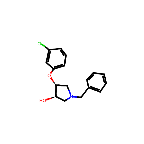 O[C@@H]1CN(Cc2ccccc2)C[C@@H]1Oc1cccc(Cl)c1